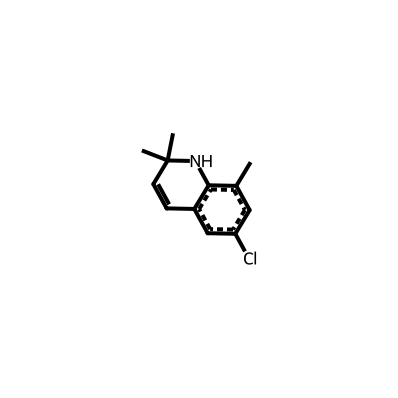 Cc1cc(Cl)cc2c1NC(C)(C)C=C2